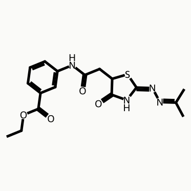 CCOC(=O)c1cccc(NC(=O)CC2S/C(=N/N=C(C)C)NC2=O)c1